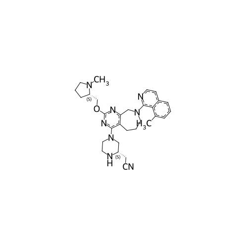 Cc1cccc2ccnc(N3CCCc4c(nc(OC[C@@H]5CCCN5C)nc4N4CCN[C@@H](CC#N)C4)C3)c12